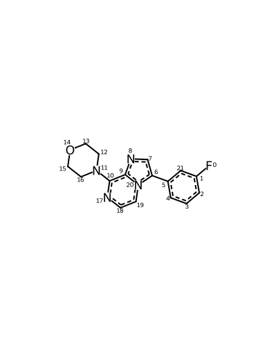 Fc1cccc(-c2cnc3c(N4CCOCC4)nccn23)c1